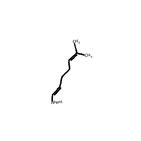 CCCCCC=C[CH]CC=C(C)C